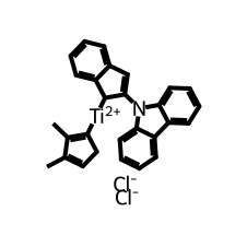 CC1=CC[C]([Ti+2][CH]2C(n3c4ccccc4c4ccccc43)=Cc3ccccc32)=C1C.[Cl-].[Cl-]